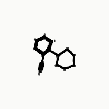 N#Cc1cccnc1C1[CH]CCCC1